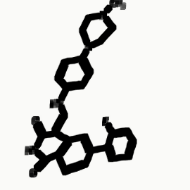 CN1CCN(c2ccc(NC=C3C(=O)NC(=O)c4ccc(-c5ccccc5F)cc43)cc2)CC1